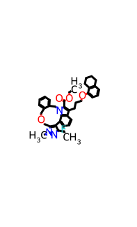 CCOC(=O)c1c(CCCOc2cccc3c2CCCC3)c2ccc(F)c3c2n1Cc1ccccc1COCc1c-3c(CC)nn1C